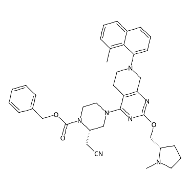 Cc1cccc2cccc(N3CCc4c(nc(OC[C@@H]5CCCN5C)nc4N4CCN(C(=O)OCc5ccccc5)[C@@H](CC#N)C4)C3)c12